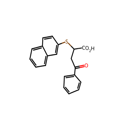 O=C(CC(Sc1ccc2ccccc2c1)C(=O)O)c1ccccc1